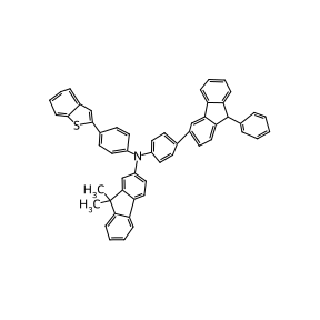 CC1(C)c2ccccc2-c2ccc(N(c3ccc(-c4ccc5c(c4)-c4ccccc4C5c4ccccc4)cc3)c3ccc(-c4cc5ccccc5s4)cc3)cc21